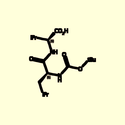 CC(C)C[C@H](NC(=O)OC(C)(C)C)C(=O)N[C@H](C(=O)O)C(C)C